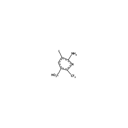 Nc1nc(C(F)(F)F)c(C(=O)O)cc1I